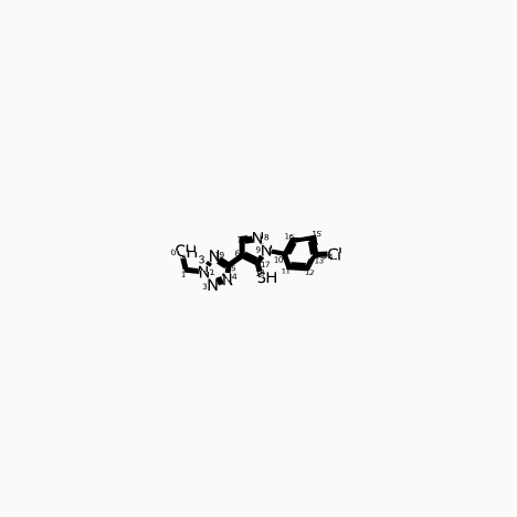 CCn1nnc(-c2cnn(-c3ccc(Cl)cc3)c2S)n1